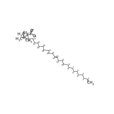 C=CCCCCCCCCCCCC=CCCCCCCCCCCC(CC)(P(=O)=O)[N+](C)(C)C